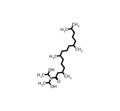 CC(C)CCCC(C)CCCC(C)CCCC(C)CC(=O)N(C(C)O)C(C)O